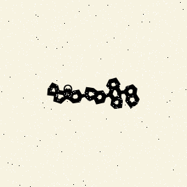 c1ccc2c(-c3c4ccccc4c(-c4ccc5cc(-c6ccc7c(c6)oc6c8ccccc8ccc76)ccc5c4)c4ccccc34)cccc2c1